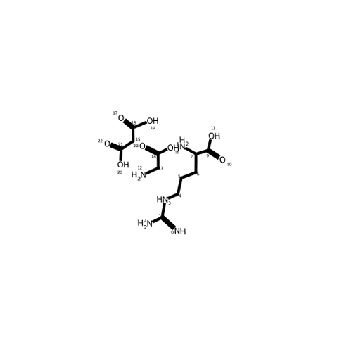 N=C(N)NCCCC(N)C(=O)O.NCC(=O)O.O=C(O)CC(=O)O